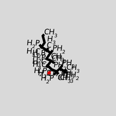 BC(C)(C(C)(P)CCC)C(C)(P)C(C)(P)C(C)(P)C(C)(P)C(B)(C)C(C)(P)C(C)(P)C(C)(C)P